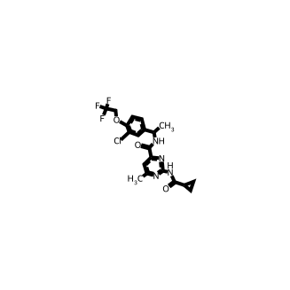 Cc1cc(C(=O)NC(C)c2ccc(OCC(F)(F)F)c(Cl)c2)nc(NC(=O)C2CC2)n1